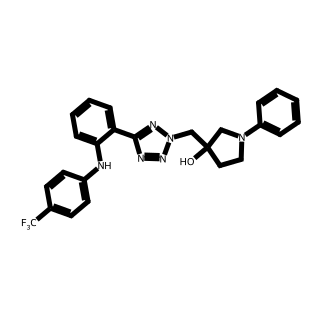 OC1(Cn2nnc(-c3ccccc3Nc3ccc(C(F)(F)F)cc3)n2)CCN(c2ccccc2)C1